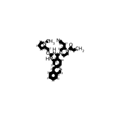 C=CC(=O)N1CCN(C2NC(OCC3CCCN3C)NC3C[C@]4(CCC32)Cc2ccccc2CS4)CC1CC#N